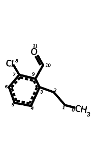 CCCc1cccc(Cl)c1C=O